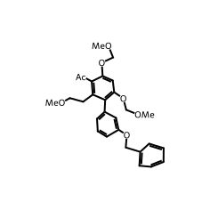 COCCc1c(C(C)=O)c(OCOC)cc(OCOC)c1-c1cccc(OCc2ccccc2)c1